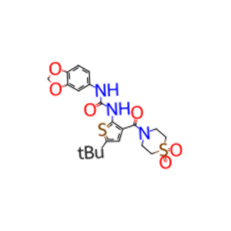 CC(C)(C)c1cc(C(=O)N2CCS(=O)(=O)CC2)c(NC(=O)Nc2ccc3c(c2)OCO3)s1